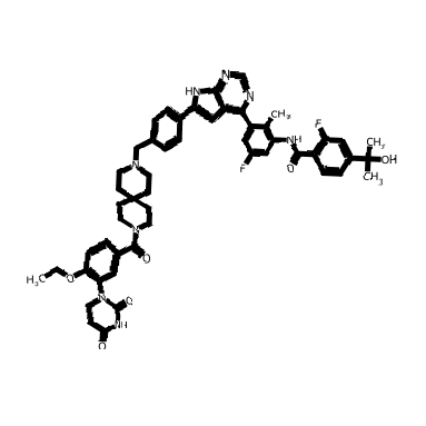 CCOc1ccc(C(=O)N2CCC3(CCN(Cc4ccc(-c5cc6c(-c7cc(F)cc(NC(=O)c8ccc(C(C)(C)O)cc8F)c7C)ncnc6[nH]5)cc4)CC3)CC2)cc1N1CCC(=O)NC1=O